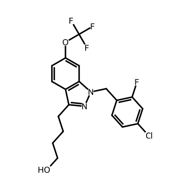 OCCCCc1nn(Cc2ccc(Cl)cc2F)c2cc(OC(F)(F)F)ccc12